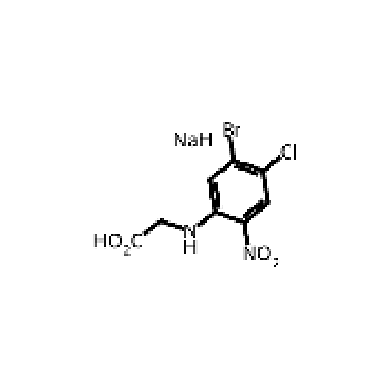 O=C(O)CNc1cc(Br)c(Cl)cc1[N+](=O)[O-].[NaH]